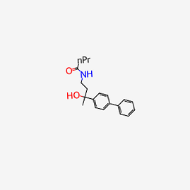 CCCC(=O)NCCC(C)(O)c1ccc(-c2ccccc2)cc1